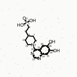 O=P(O)(O)CCC1CCN(c2ncnc3cc(O)c(O)cc23)CC1